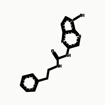 O=C(NCCc1ccccc1)Nc1cnc2c(ccn2S)n1